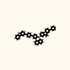 CC1(C)c2cc(-c3ccccc3)ccc2-c2ccc(N(c3ccc(-c4ccc(-c5ccc6sc7ccccc7c6c5)cc4)cc3)c3cccc4ccccc34)cc21